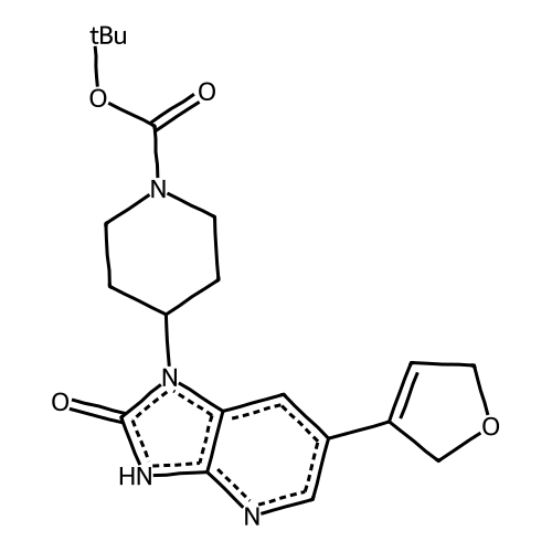 CC(C)(C)OC(=O)N1CCC(n2c(=O)[nH]c3ncc(C4=CCOC4)cc32)CC1